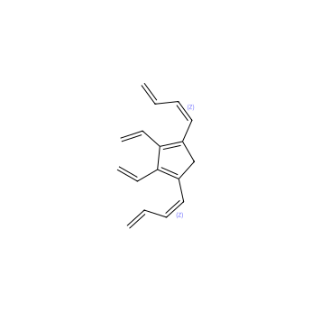 C=C/C=C\C1=C(C=C)C(C=C)=C(/C=C\C=C)C1